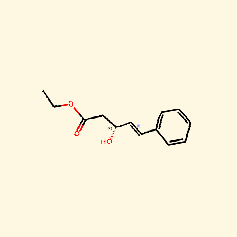 CCOC(=O)C[C@@H](O)/C=C/c1ccccc1